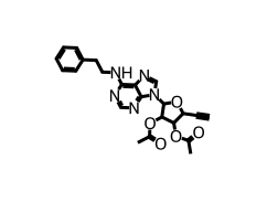 C#CC1OC(n2cnc3c(NCCc4ccccc4)ncnc32)C(OC(C)=O)C1OC(C)=O